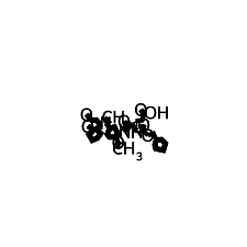 COc1ccc(N(C)c2cc(=O)oc3ccccc23)cc1NC(=O)[C@H](CCC(=O)O)NC(=O)OCc1ccccc1